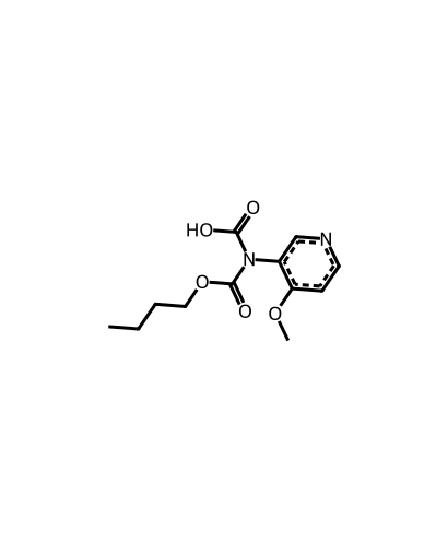 CCCCOC(=O)N(C(=O)O)c1cnccc1OC